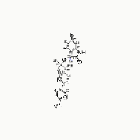 C=Cc1ccc(-c2ccc(C3=C/C(=C4\C(=O)Nc5cc(F)ccc54)OC3(C)C)cn2)cn1